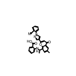 Cc1cc(C(C)Nc2ccccc2C(=O)O)c2oc(-c3cnn(-c4ccccc4C#N)c3)cc(=O)c2c1